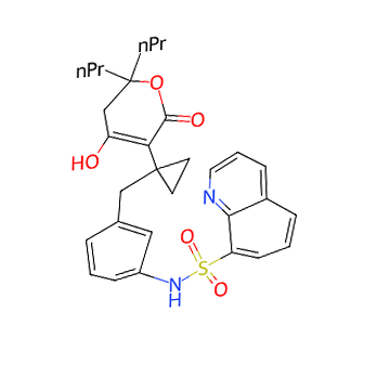 CCCC1(CCC)CC(O)=C(C2(Cc3cccc(NS(=O)(=O)c4cccc5cccnc45)c3)CC2)C(=O)O1